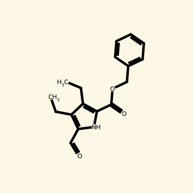 CCc1c(C=O)[nH]c(C(=O)OCc2ccccc2)c1CC